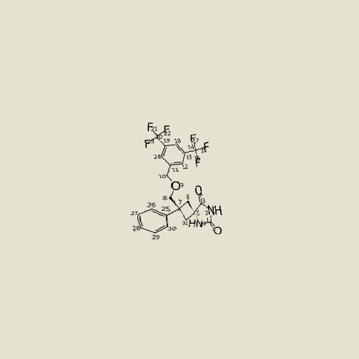 O=C1NC(=O)[C@]2(C[C@@](COCc3cc(C(F)(F)F)cc(C(F)(F)F)c3)(c3ccccc3)C2)N1